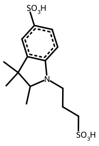 CC1N(CCCS(=O)(=O)O)c2ccc(S(=O)(=O)O)cc2C1(C)C